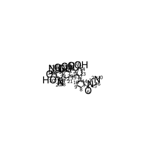 CN1CCN(C(=O)c2cccc(-c3ccc(O)c4c3C[C@@]3(C)C[C@@]5(C)[C@H](N(C)C)C(O)=C(C(N)=O)C(=O)[C@@]5(O)C(O)=C3C4=O)c2)CC1